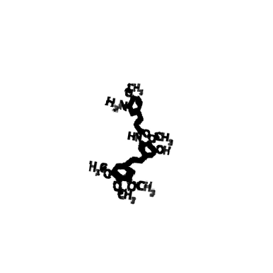 COc1ccc(/C=C/C(=O)Nc2cc(C=Cc3cc(OC)c(OC)c(OC)c3)cc(O)c2OC)cc1N